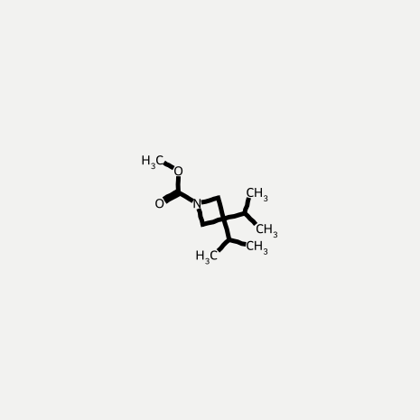 COC(=O)N1CC(C(C)C)(C(C)C)C1